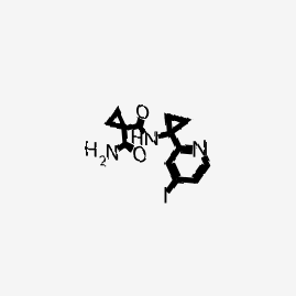 NC(=O)C1(C(=O)NC2(c3cc(I)ccn3)CC2)CC1